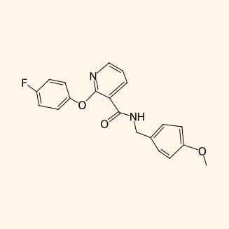 COc1ccc(CNC(=O)c2cccnc2Oc2ccc(F)cc2)cc1